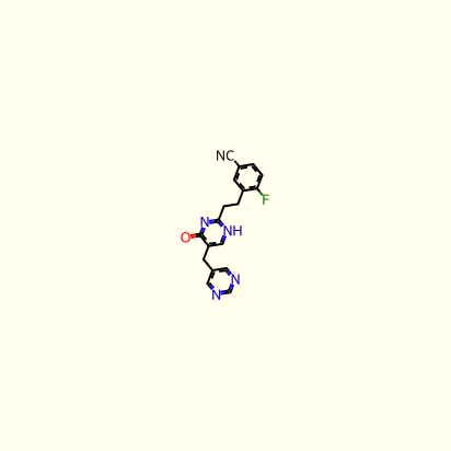 N#Cc1ccc(F)c(CCc2nc(=O)c(Cc3cncnc3)c[nH]2)c1